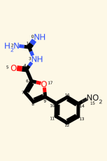 N=C(N)NC(=O)c1ccc(-c2cccc([N+](=O)[O-])c2)o1